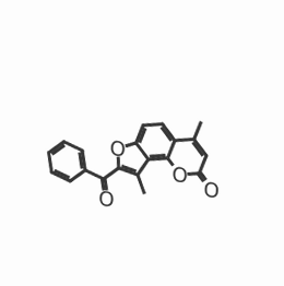 Cc1cc(=O)oc2c1ccc1oc(C(=O)c3ccccc3)c(C)c12